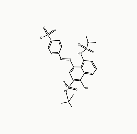 CN(C)S(=O)(=O)Nc1cccc2c(O)c(S(=O)(=O)NC(C)(C)C)cc(N=Nc3ccc(S(=O)(=O)Cl)cc3)c12